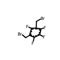 Fc1c(F)c(CBr)c(F)c(CBr)c1F